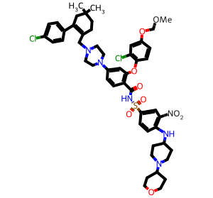 COCOc1ccc(Oc2cc(N3CCN(CC4=C(c5ccc(Cl)cc5)CC(C)(C)CC4)CC3)ccc2C(=O)NS(=O)(=O)c2ccc(NC3CCN(C4CCOCC4)CC3)c([N+](=O)[O-])c2)c(Cl)c1